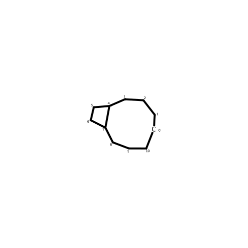 C1CCC[C]2CCC2CCC1